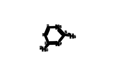 [2H]c1ccnc([2H])n1